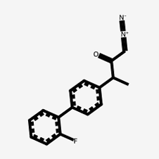 CC(C(=O)C=[N+]=[N-])c1ccc(-c2ccccc2F)cc1